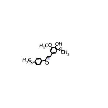 COc1cc(/C=C/C(=O)c2ccc(SC)cc2)cc(OC)c1O